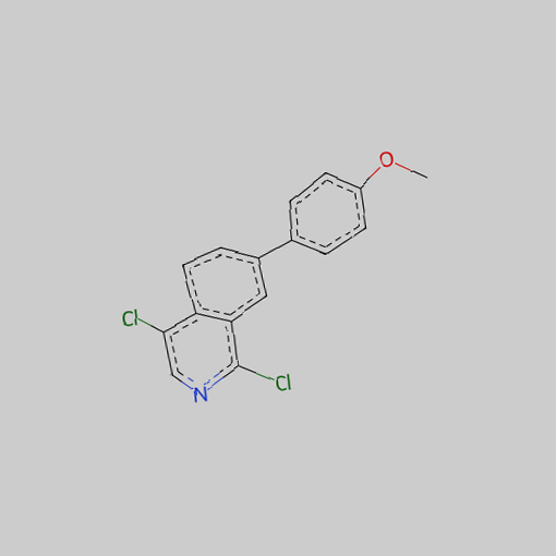 COc1ccc(-c2ccc3c(Cl)cnc(Cl)c3c2)cc1